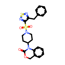 O=C1OCc2ccccc2N1C1CCN(S(=O)(=O)c2nsnc2Cc2ccccc2)CC1